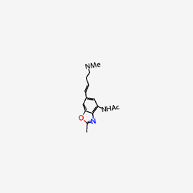 CNCC/C=C/c1cc(NC(C)=O)c2nc(C)oc2c1